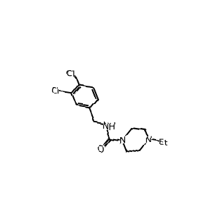 CCN1CCN(C(=O)NCc2ccc(Cl)c(Cl)c2)CC1